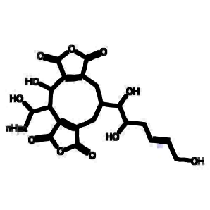 CCCCCCC(O)C1C2=C(CC(C(O)C(O)C/C=C/CO)CC3=C(C(=O)OC3=O)C1O)C(=O)OC2=O